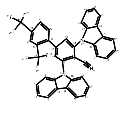 N#Cc1c(-n2c3ccccc3c3ccccc32)cc(-c2ccc(C(F)(F)F)cc2C(F)(F)F)cc1-n1c2ccccc2c2ccccc21